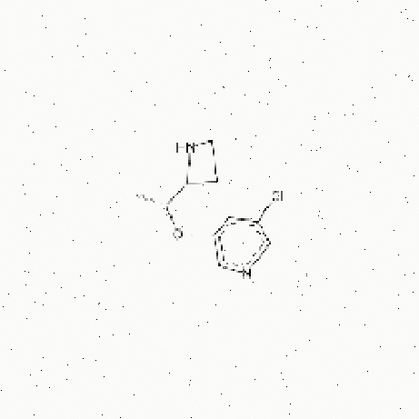 C[C@@H](Oc1cncc(Cl)c1)C1CCN1